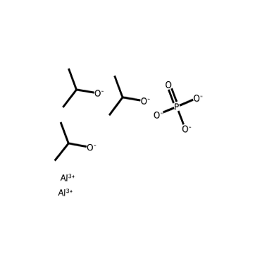 CC(C)[O-].CC(C)[O-].CC(C)[O-].O=P([O-])([O-])[O-].[Al+3].[Al+3]